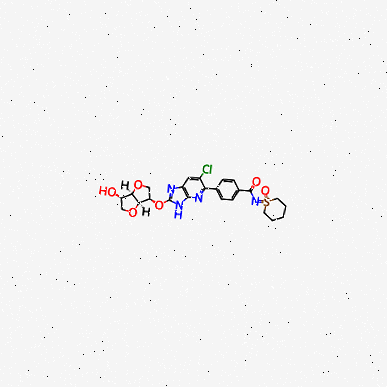 O=C(N=S1(=O)CCCCC1)c1ccc(-c2nc3[nH]c(O[C@@H]4CO[C@H]5[C@@H]4OC[C@H]5O)nc3cc2Cl)cc1